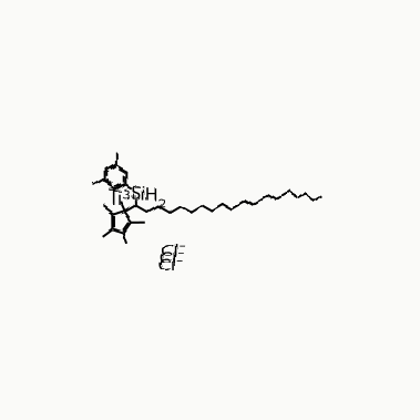 CCCCCCCCCCCCCCCCCCC([SiH2]c1cc(C)cc(C)c1)[C]1([Ti+3])C(C)=C(C)C(C)=C1C.[Cl-].[Cl-].[Cl-]